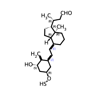 C=C1/C(=C\C=C2/CCC[C@]3(C)[C@@H]([C@H](C)CC=O)CC[C@@H]23)C[C@@H](OS)C[C@@H]1O